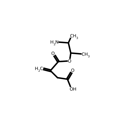 C=C(CC(=O)O)C(=O)OC(C)C(C)N